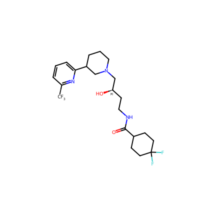 O=C(NCC[C@@H](O)CN1CCCC(c2cccc(C(F)(F)F)n2)C1)C1CCC(F)(F)CC1